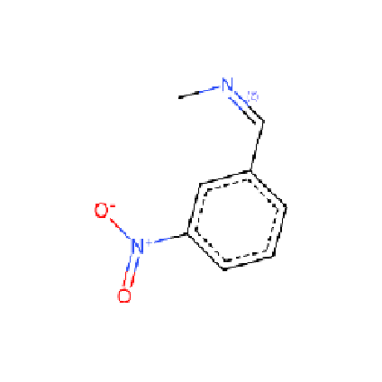 C/N=C\c1cccc([N+](=O)[O-])c1